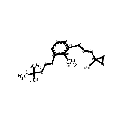 CCC(C)(C)CCCc1cccc(CCCC2(I)CC2)c1C